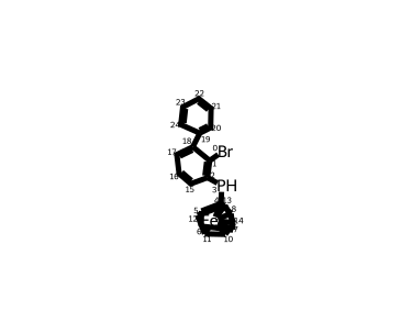 Brc1c(P[C]23[CH]4[CH]5[CH]6[CH]2[Fe]56432789[CH]3[CH]2[CH]7[CH]8[CH]39)cccc1-c1ccccc1